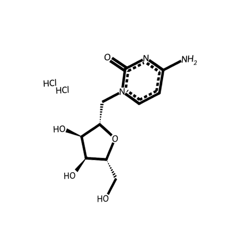 Cl.Cl.Nc1ccn(C[C@@H]2O[C@H](CO)[C@@H](O)[C@H]2O)c(=O)n1